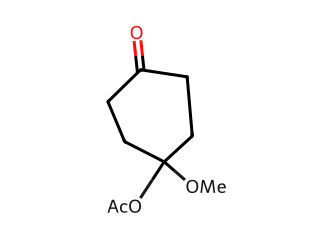 COC1(OC(C)=O)CCC(=O)CC1